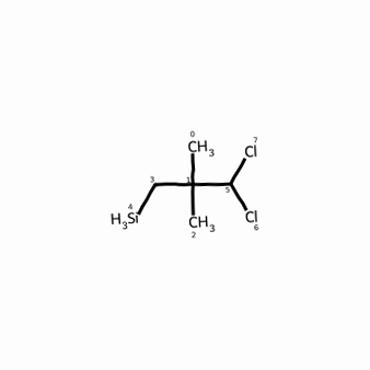 CC(C)(C[SiH3])C(Cl)Cl